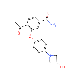 CC(=O)c1ccc(C(N)=O)cc1Oc1ccc(N2CC(O)C2)cc1